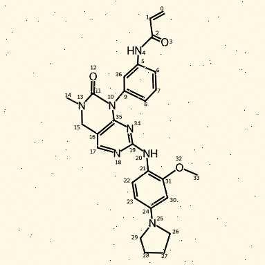 C=CC(=O)Nc1cccc(N2C(=O)N(C)Cc3cnc(Nc4ccc(N5CCCC5)cc4OC)nc32)c1